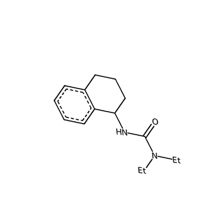 CCN(CC)C(=O)NC1CCCc2ccccc21